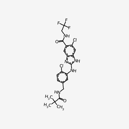 CC(C)(C)C(=O)NCc1ccc(Cl)c(Nc2nc3cc(C(=O)NCC(F)(F)F)c(Cl)cc3[nH]2)c1